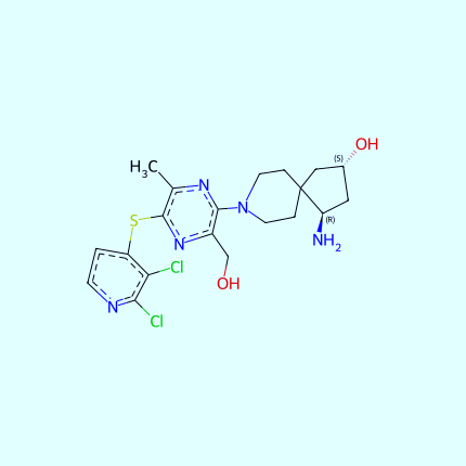 Cc1nc(N2CCC3(CC2)C[C@H](O)C[C@H]3N)c(CO)nc1Sc1ccnc(Cl)c1Cl